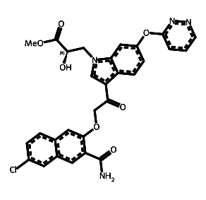 COC(=O)[C@H](O)Cn1cc(C(=O)COc2cc3ccc(Cl)cc3cc2C(N)=O)c2ccc(Oc3cccnn3)cc21